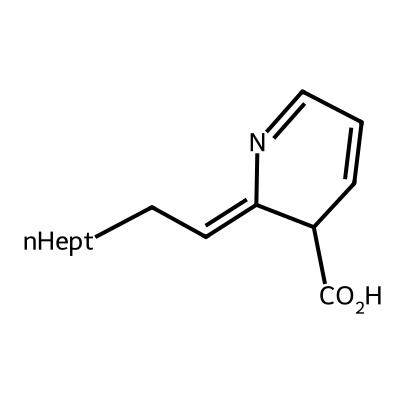 CCCCCCCCC=C1N=CC=CC1C(=O)O